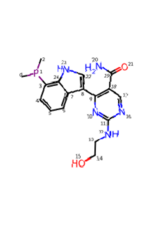 CP(C)c1cccc2c(-c3nc(NCCO)ncc3C(N)=O)c[nH]c12